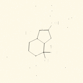 CC1(C)CCC[C@@]2(C)CC(O)C[C@@H]12